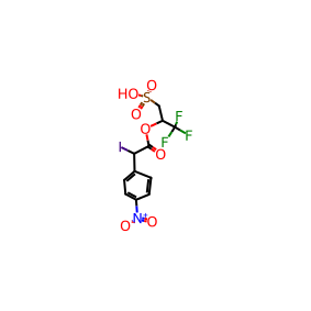 O=C(OC(CS(=O)(=O)O)C(F)(F)F)C(I)c1ccc([N+](=O)[O-])cc1